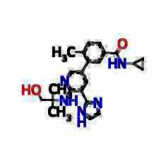 Cc1ccc(C(=O)NC2CC2)cc1-c1cnc(NC(C)(C)CO)c(-c2ncc[nH]2)c1